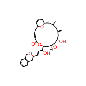 C=C1CC(C)C[C@@H]2CC=CC(C/C=C\C(=O)OC(C(O)/C=C/C3Cc4ccccc4CO3)C[C@@H]3OC3[C@@H](O)C1)O2